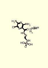 Nc1nc(N)c(C(=O)NN=CNP(=O)(O)O)nc1Cl.O.[NaH].[NaH]